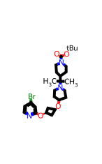 CC(C)(C)OC(=O)N1CCC(C(C)(C)N2CCC(O[C@H]3C[C@H](Oc4cc(Br)ccn4)C3)CC2)CC1